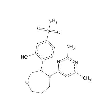 Cc1cc(N2CCCOCC2c2ccc(S(C)(=O)=O)cc2C#N)nc(N)n1